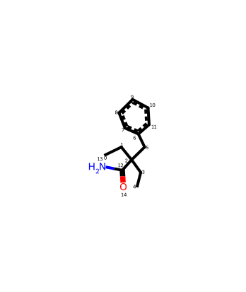 CCC(CC)(Cc1ccccc1)C(N)=O